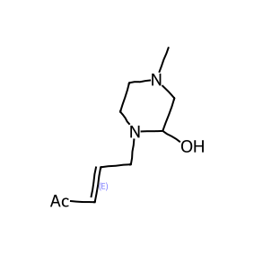 CC(=O)/C=C/CN1CCN(C)CC1O